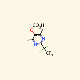 Cc1nc(C(F)(F)C(F)(F)F)nc(C)c1OC(=O)O